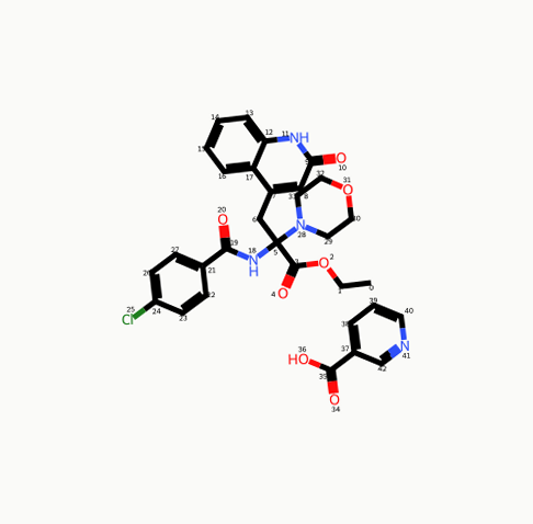 CCOC(=O)C(Cc1cc(=O)[nH]c2ccccc12)(NC(=O)c1ccc(Cl)cc1)N1CCOCC1.O=C(O)c1cccnc1